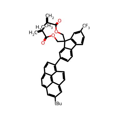 C=C(C)C(=O)OCC1(COC(=O)C(=C)C)c2cc(-c3ccc4ccc5cc(C(C)(C)C)cc6ccc3c4c56)ccc2-c2ccc(C(F)(F)F)cc21